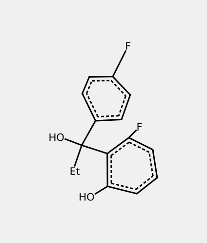 CCC(O)(c1ccc(F)cc1)c1c(O)cccc1F